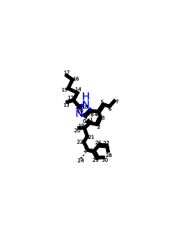 C=C(/C=C\C(=C/CC)c1cnc(C(C)CCCC)[nH]1)C(C)CC[C@@H](C)C(/C=C\C)=C/C